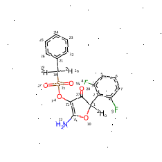 [2H]C1(c2c(F)cccc2F)OC(N)=C(OS(=O)(=O)C([2H])([2H])c2ccccc2)C1=O